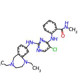 CCN1CCN(CC)c2cc(Nc3ncc(Cl)c(Nc4ccccc4C(=O)NC)n3)ccc2C1